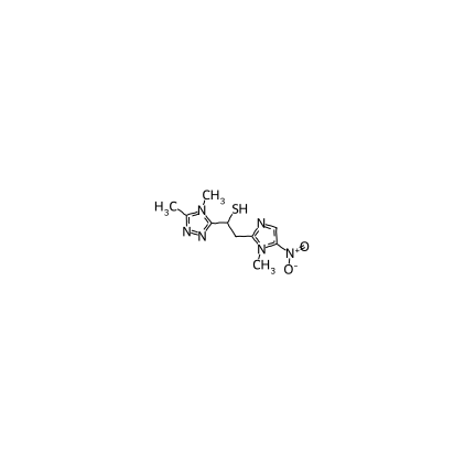 Cc1nnc(C(S)Cc2ncc([N+](=O)[O-])n2C)n1C